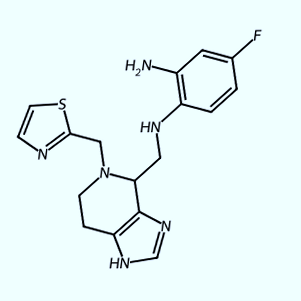 Nc1cc(F)ccc1NCC1c2nc[nH]c2CCN1Cc1nccs1